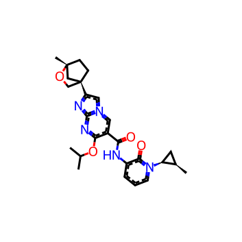 CC(C)Oc1nc2nc([C@]34CC[C@](C)(C3)OC4)cn2cc1C(=O)Nc1cccn([C@H]2C[C@H]2C)c1=O